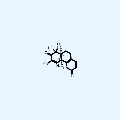 [C-]#[N+]C1=C[C@]2(C)c3[nH]c(=O)ccc3CC[C@H]2C(C)(C)C1=O